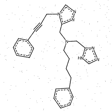 C(#Cc1ccccc1)Cn1cnnc1CN(CCCCc1ccccc1)Cc1nnc[nH]1